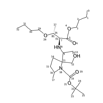 CCCCOC(=O)[C@@H](NC(C)C1(CO)CCC(C)N1C(=O)OC(C)(C)C)[C@@H](C)OCCCC